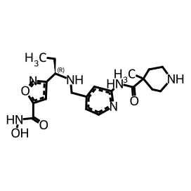 CC[C@@H](NCc1ccnc(NC(=O)C2(C)CCNCC2)c1)c1cc(C(=O)NO)on1